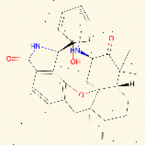 CN[C@@H]1C[C@@]23Oc4c(ccc5c4[C@H](C4(O)C=CC=CC4)NC5=O)C[C@]2(C)[C@@H](C)CC[C@H]3C(C)(C)C1=O